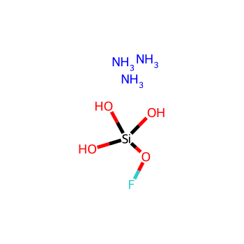 N.N.N.O[Si](O)(O)OF